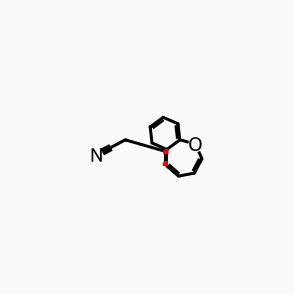 N#CCC1CCC2=CC=COC3=CC=CCC23C1